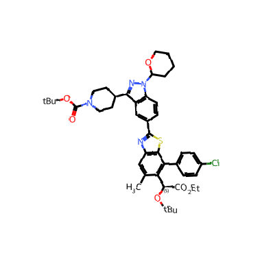 CCOC(=O)[C@@H](OC(C)(C)C)c1c(C)cc2nc(-c3ccc4c(c3)c(C3CCN(C(=O)OC(C)(C)C)CC3)nn4C3CCCCO3)sc2c1-c1ccc(Cl)cc1